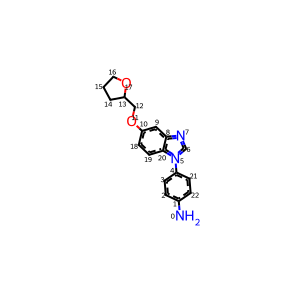 Nc1ccc(-n2cnc3cc(OCC4CCCO4)ccc32)cc1